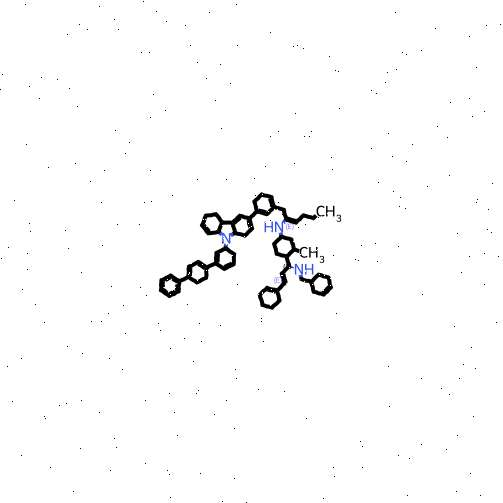 CCC/C=C(\CC1=CCCC(C2=CCC3C(=C2)C2CCC=CC2N3C2C=C(C3=CC=C(c4ccccc4)CC3)C=CC2)=C1)NC1CCC([C@@H](/C=C/C2=CCCCC2)NCC2CC=CCC2)C(C)C1